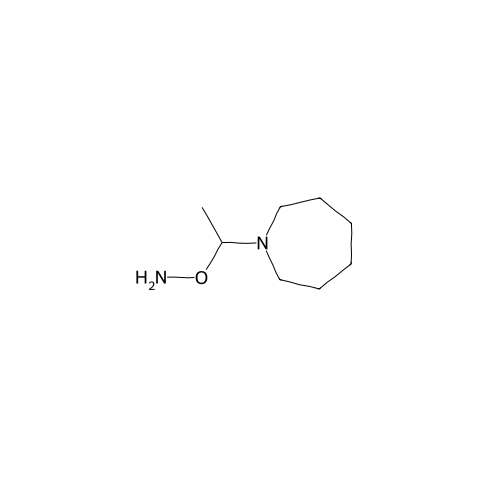 CC(ON)N1CCCCCC1